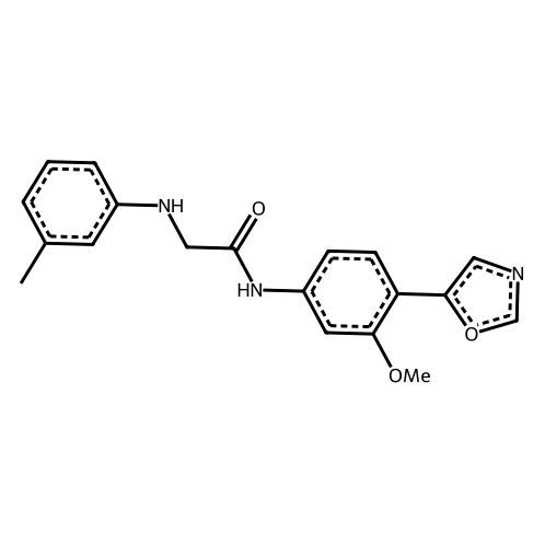 COc1cc(NC(=O)CNc2cccc(C)c2)ccc1-c1cnco1